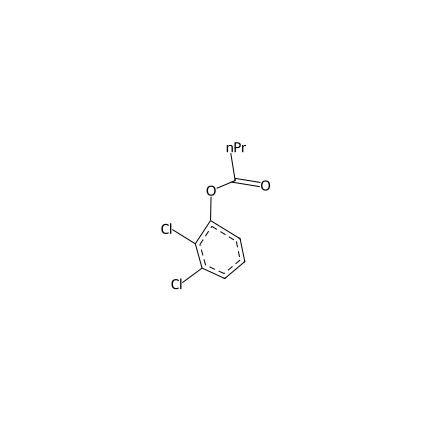 CCCC(=O)Oc1cccc(Cl)c1Cl